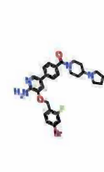 Nc1ncc(-c2ccc(C(=O)N3CCC(N4CCCC4)CC3)cc2)cc1OCc1ccc(Br)cc1F